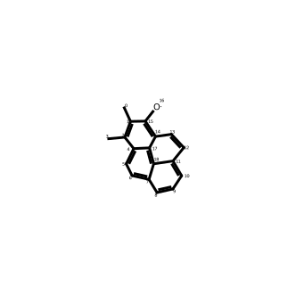 Cc1c(C)c2ccc3cccc4ccc(c1[O])c2c34